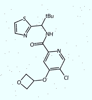 CC(C)(C)C(NC(=O)c1cc(OC2COC2)c(Cl)cn1)c1nccs1